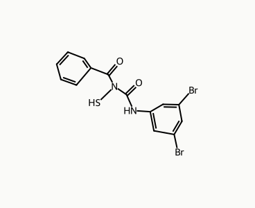 O=C(Nc1cc(Br)cc(Br)c1)N(S)C(=O)c1ccccc1